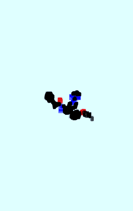 COc1cccc(-c2ccc(CNC(=O)C3CC3c3ccccc3)c3c2CCN(c2ncccn2)C3)c1